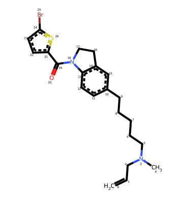 C=CCN(C)CCCCCc1ccc2c(c1)CCN2C(=O)c1ccc(Br)s1